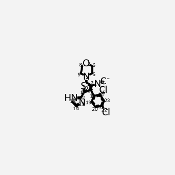 [C-]#[N+]c1c(N2CCOCC2)sc(-c2ncc[nH]2)c1-c1ccc(Cl)cc1Cl